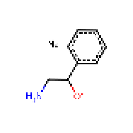 NCC([O-])c1ccccc1.[Na+]